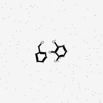 ClCc1ccccc1.Clc1cccc(Cl)c1Cl